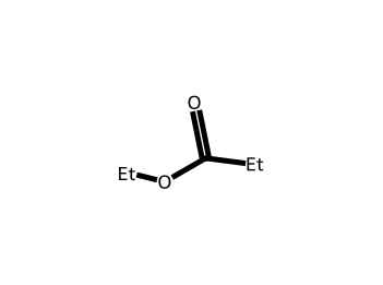 [CH2]CC(=O)OCC